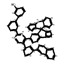 N#Cc1cccc(-c2cccc(-c3ncc(-c4cccc(-c5ccc6ccccc6c5)c4)c(-c4ccc5c(c4)C4(c6ccccc6Sc6ccccc64)c4ccccc4-5)n3)c2)c1